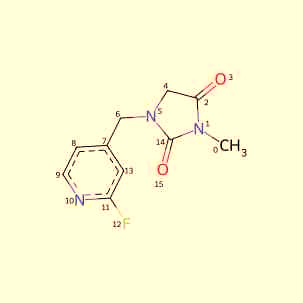 CN1C(=O)CN(Cc2ccnc(F)c2)C1=O